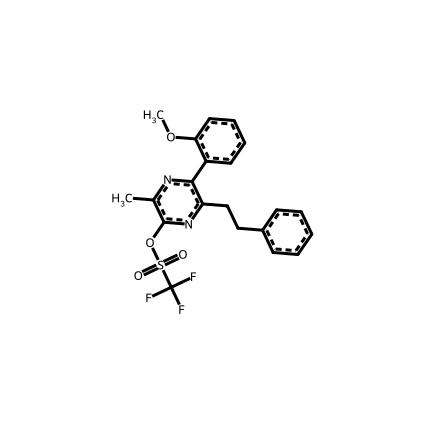 COc1ccccc1-c1nc(C)c(OS(=O)(=O)C(F)(F)F)nc1CCc1ccccc1